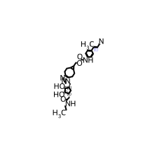 CCCNC(=O)C[C@H]1C[C@H](Cn2nnc3c2CCC2C(CC3)C2COC(=O)Nc2ccc(/C(C)=C/C#N)cc2)[C@@H](O)[C@H]1O